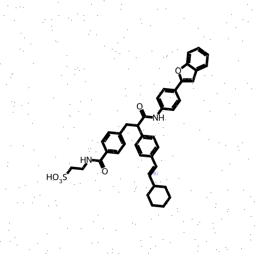 O=C(NCCS(=O)(=O)O)c1ccc(CC(C(=O)Nc2ccc(-c3cc4ccccc4o3)cc2)c2ccc(/C=C/C3CCCCC3)cc2)cc1